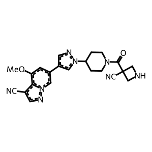 COc1cc(-c2cnn(C3CCN(C(=O)C4(C#N)CNC4)CC3)c2)cn2ncc(C#N)c12